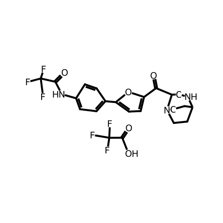 O=C(O)C(F)(F)F.O=C(c1ccc(-c2ccc(NC(=O)C(F)(F)F)cc2)o1)C1CNC2CCN1CC2